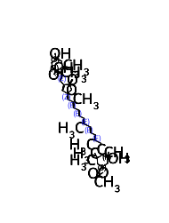 CC(=O)O[C@H]1CC(C)(C)C(=C=C/C(C)=C/C=C/C(C)=C/C=C/C=C(C)/C=C2C=C(/C=C/[C@@]34O[C@]3(C)C[C@@H](O)CC4(C)C)C(=O)O/2)[C@](C)(O)C1